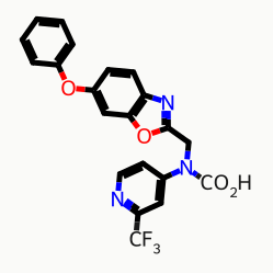 O=C(O)N(Cc1nc2ccc(Oc3ccccc3)cc2o1)c1ccnc(C(F)(F)F)c1